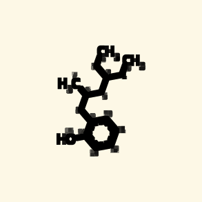 CCC(CC)CC(C)Cc1ccccc1O